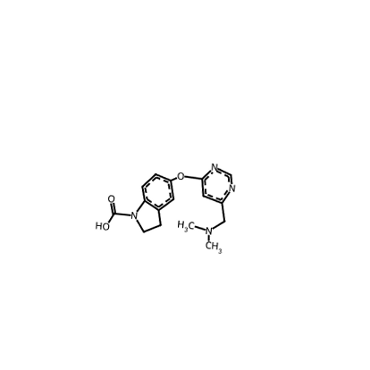 CN(C)Cc1cc(Oc2ccc3c(c2)CCN3C(=O)O)ncn1